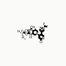 CO[C@H]1CCN(c2cc(Cl)ncc2-c2cnn(C(F)F)c2)C[C@H]1NC(=O)OC(C)(C)C